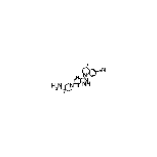 C[C@@H]1CCN(c2n[nH]c3nc(N4CCC(C)(CN)CC4)cnc23)c2ccc(C#N)cc21